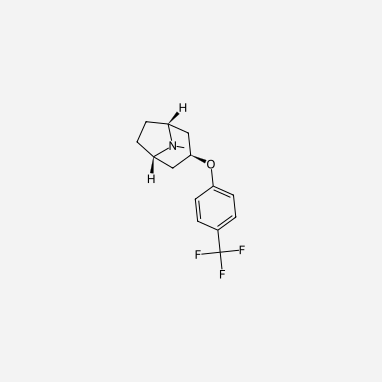 CN1[C@@H]2CC[C@H]1C[C@H](Oc1ccc(C(F)(F)F)cc1)C2